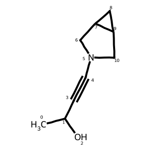 CC(O)C#CN1CC2CC2C1